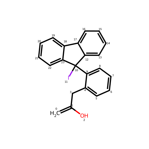 C=C(O)Cc1ccccc1C1(I)c2ccccc2-c2ccccc21